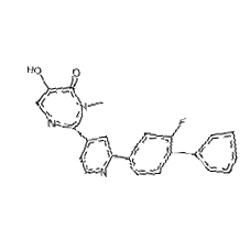 Cn1c(-c2ccnc(-c3ccc(-c4ccccc4)c(F)c3)c2)ncc(O)c1=O